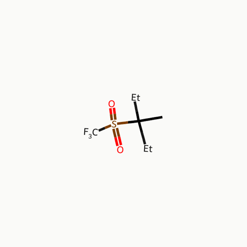 CCC(C)(CC)S(=O)(=O)C(F)(F)F